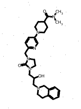 CN(C)C(=O)C1CCN(c2ccc(CN3CCN(CC(O)CN4CCc5ccccc5C4)C3=O)nc2)CC1